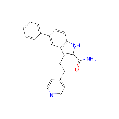 NC(=O)c1[nH]c2ccc(-c3ccccc3)cc2c1CCc1ccncc1